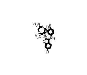 CC1(C)OCC(N)=NC(C)(c2cc(NC3COc4cc(Cl)ccc43)ccc2F)C1(F)F